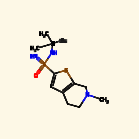 CN1CCc2cc(S(=N)(=O)N[Si](C)(C)C(C)(C)C)sc2C1